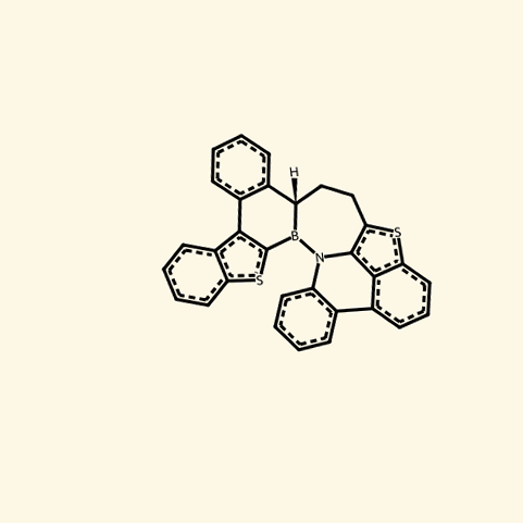 c1ccc2c(c1)-c1c(sc3ccccc13)B1[C@H]2CCc2sc3cccc4c3c2N1c1ccccc1-4